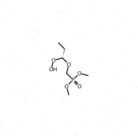 CC[C@@H](OO)OCP(=O)(OC)OC